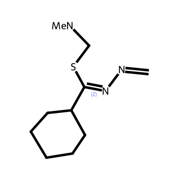 C=N/N=C(\SCNC)C1CCCCC1